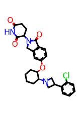 O=C1CCC(N2Cc3cc(O[C@@H]4CCCC[C@@H]4N4CC(c5ccccc5Cl)C4)ccc3C2=O)C(=O)N1